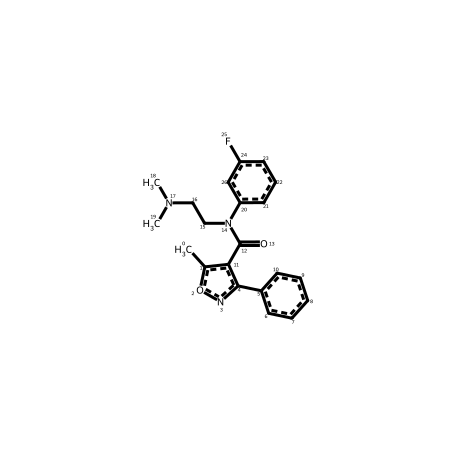 Cc1onc(-c2ccccc2)c1C(=O)N(CCN(C)C)c1cccc(F)c1